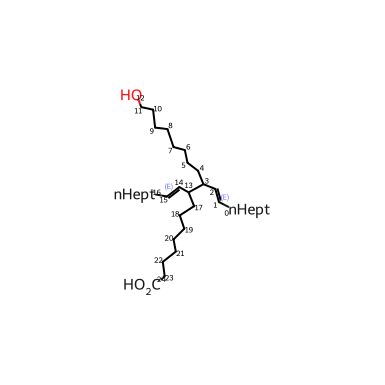 CCCCCCC/C=C/C(CCCCCCCCO)C(/C=C/CCCCCCC)CCCCCCCC(=O)O